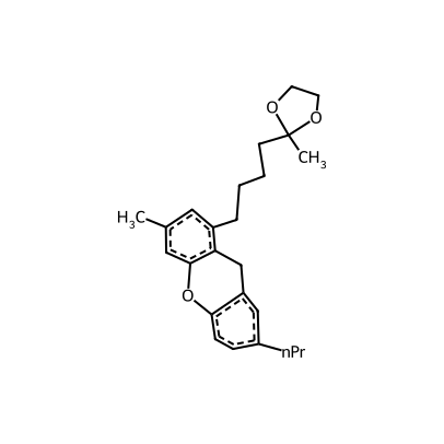 CCCc1ccc2c(c1)Cc1c(CCCCC3(C)OCCO3)cc(C)cc1O2